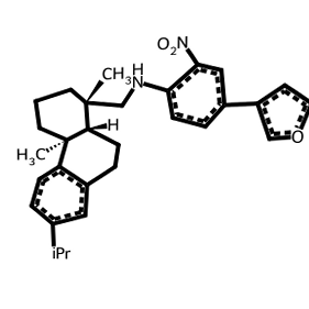 CC(C)c1ccc2c(c1)CC[C@H]1[C@@](C)(CNc3ccc(-c4ccoc4)cc3[N+](=O)[O-])CCC[C@]21C